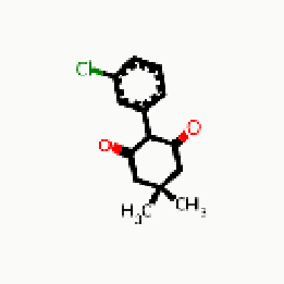 CC1(C)CC(=O)C(c2cccc(Cl)c2)C(=O)C1